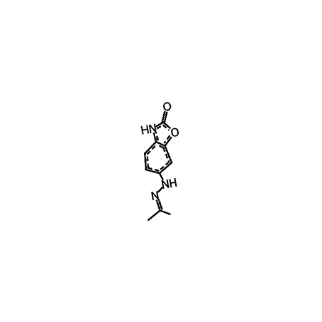 CC(C)=NNc1ccc2[nH]c(=O)oc2c1